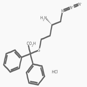 Cl.[N-]=[N+]=NC[C@@H](N)CCSC(C(=O)O)(c1ccccc1)c1ccccc1